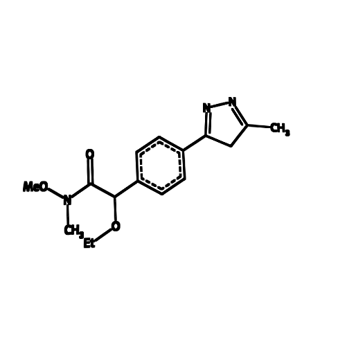 CCOC(C(=O)N(C)OC)c1ccc(C2=NN=C(C)C2)cc1